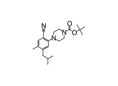 Cc1cc(C#N)c(N2CCN(C(=O)OC(C)(C)C)CC2)cc1CC(C)C